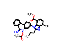 CCCc1nc2c(C)ccc(C(=O)OC)c2n1-c1ccc(-c2ccccc2C(=N)NOC(C)=O)cc1